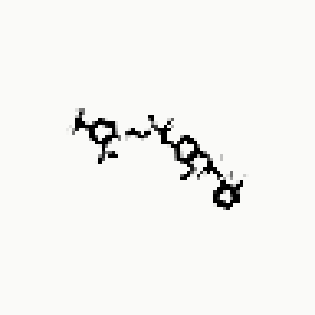 COc1cc(CC(=O)N(C)CCOc2ccc(C(=O)O)cc2N(C)C)ccc1NC(=O)Nc1ccccc1F